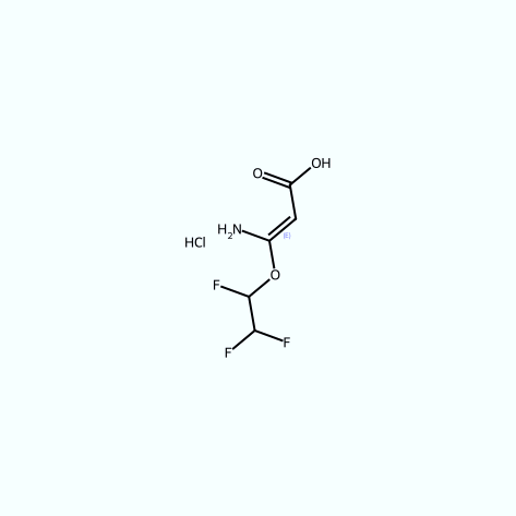 Cl.N/C(=C\C(=O)O)OC(F)C(F)F